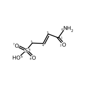 NC(=O)C=CCS(=O)(=O)O